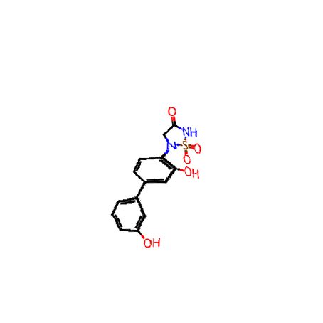 O=C1CN(c2ccc(-c3cccc(O)c3)cc2O)S(=O)(=O)N1